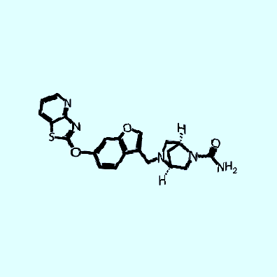 NC(=O)N1C[C@@H]2C[C@H]1CN2Cc1coc2cc(Oc3nc4ncccc4s3)ccc12